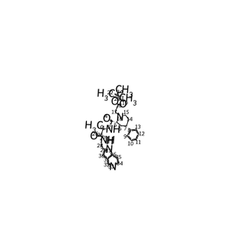 C[C@H](NC(=O)[C@H]1C[C@@H](c2ccccc2)CCN1CC(=O)OC(C)(C)C)C(=O)NCc1cc2cnccc2[nH]1